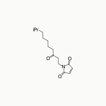 CC(C)CCCCCC(=O)CCN1C(=O)C=CC1=O